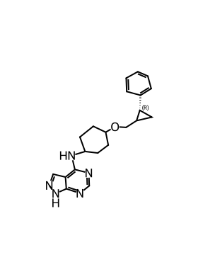 c1ccc([C@@H]2CC2COC2CCC(Nc3ncnc4[nH]ncc34)CC2)cc1